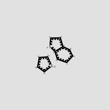 c1ccc2sccc2c1.c1ccsc1